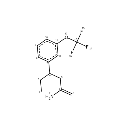 C=C(N)CC(CC)c1cccc(OC(F)(F)F)c1